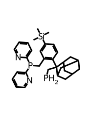 C[Si](C)(C)c1ccc(C2(CP)C3CC4CC(C3)CC2C4)c(CP(c2ccccn2)c2ccccn2)c1